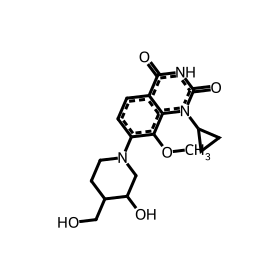 COc1c(N2CCC(CO)C(O)C2)ccc2c(=O)[nH]c(=O)n(C3CC3)c12